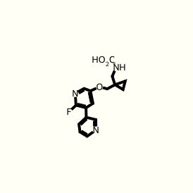 O=C(O)NCC1(COc2cnc(F)c(-c3cccnc3)c2)CC1